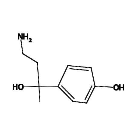 CC(O)(CCN)c1ccc(O)cc1